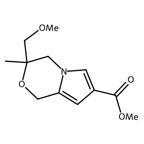 COCC1(C)Cn2cc(C(=O)OC)cc2CO1